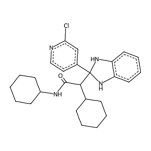 O=C(NC1CCCCC1)C(C1CCCCC1)C1(c2ccnc(Cl)c2)Nc2ccccc2N1